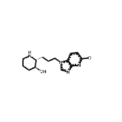 O[C@H]1CCCN[C@@H]1CCCn1cnc2nc(Cl)ccc21